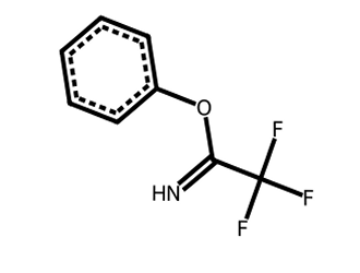 N=C(Oc1ccccc1)C(F)(F)F